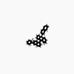 c1ccc2cc(-c3c4ccccc4c(-c4cccc5cc6c(cc45)sc4ccccc46)c4ccccc34)ccc2c1